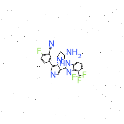 N#Cc1cc(-c2cncc(-c3nc4c(C(F)(F)F)cccc4[nH]3)c2N2CC[C@H](N)C2)ccc1F